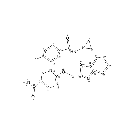 Cc1ccc(C(=O)NC2CC2)cc1N1CC(C(N)=O)=CN=C1OCc1nc2ccccc2s1